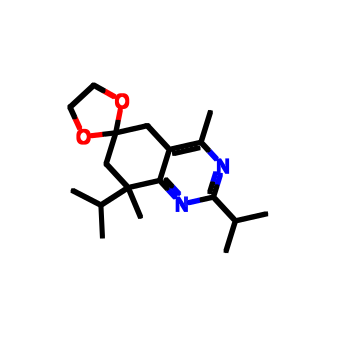 Cc1nc(C(C)C)nc2c1CC1(CC2(C)C(C)C)OCCO1